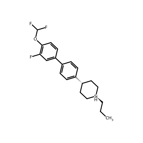 CCC[Si@H]1CC[C@H](c2ccc(-c3ccc(OC(F)F)c(F)c3)cc2)CC1